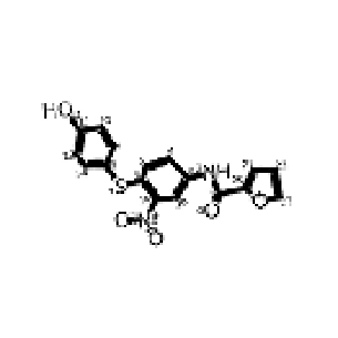 O=C(Nc1ccc(Sc2ccc(O)cc2)c([N+](=O)[O-])c1)c1ccco1